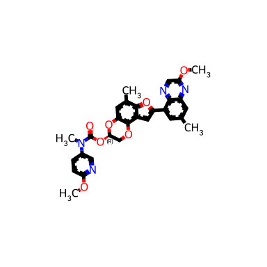 COc1ccc(N(C)C(=O)O[C@@H]2COc3c(cc(C)c4oc(-c5cc(C)cc6nc(OC)cnc56)cc34)O2)cn1